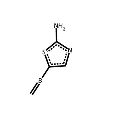 C=Bc1cnc(N)s1